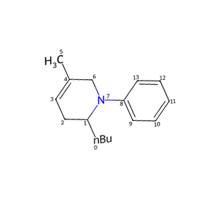 CCCCC1CC=C(C)CN1c1ccccc1